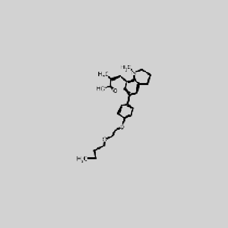 CCCCOCCOc1ccc(-c2cc(C=C(C)C(=O)O)c3c(c2)CCCN3C)cc1